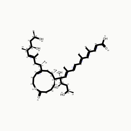 CC(=C\C=C\C(C)=C\[C@@](O)([C@H](O)C[C@@H](C)O)[C@H]1CCCC(=O)OCC/C=C(/[C@@H](C)C/C(C)=C/[C@@H](C)[C@H](O)C[C@@H](C)O)C[C@@H]1C)/C=C(C)/C=C/C(=O)O